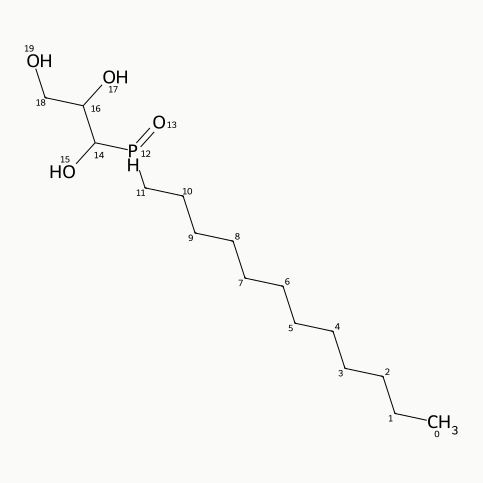 CCCCCCCCCCCC[PH](=O)C(O)C(O)CO